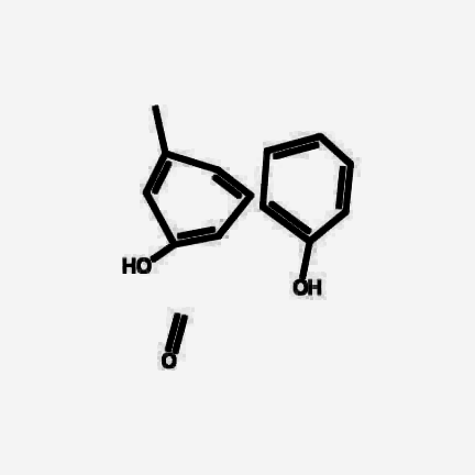 C=O.Cc1cccc(O)c1.Oc1ccccc1